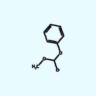 COC([O])Oc1ccccc1